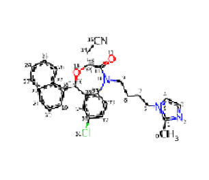 Cc1nccn1CCCCN1C(=O)[C@@H](CC#N)O[C@H](c2cccc3ccccc23)c2cc(Cl)ccc21